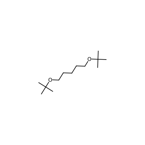 CC(C)(C)OCCCCCOC(C)(C)C